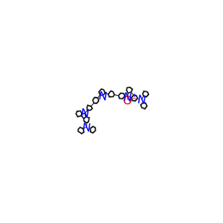 [O-][N+]1(c2ccc(-c3ccc(-c4cccc(-c5ccc(-c6ccc(-n7c8ccccc8c8cc(N(c9ccccc9)c9ccccc9)ccc87)cc6)cc5)n4)cc3)cc2)c2ccccc2-c2cc(N(c3ccccc3)c3ccccc3)ccc21